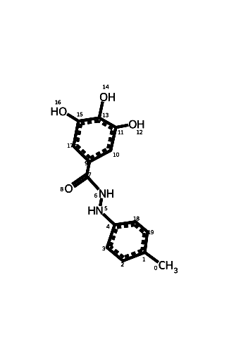 Cc1ccc(NNC(=O)c2cc(O)c(O)c(O)c2)cc1